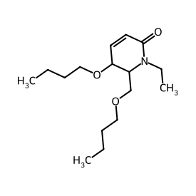 CCCCOCC1C(OCCCC)C=CC(=O)N1CC